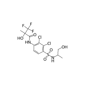 CC(CO)NS(=O)(=O)c1ccc(NC(=O)C(C)(O)C(F)(F)F)c(Cl)c1Cl